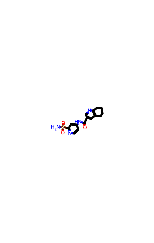 NS(=O)(=O)c1cc(NC(=O)c2cnc3c(c2)CCCC3)ccn1